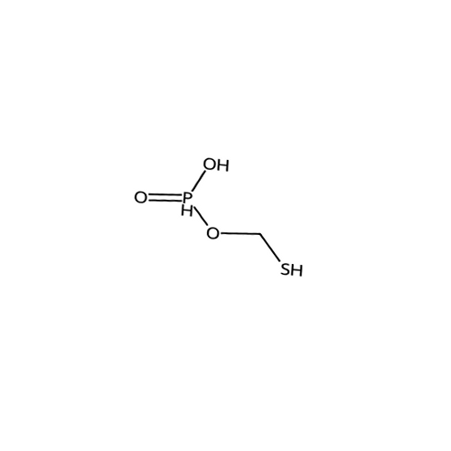 O=[PH](O)OCS